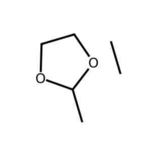 CC.CC1OCCO1